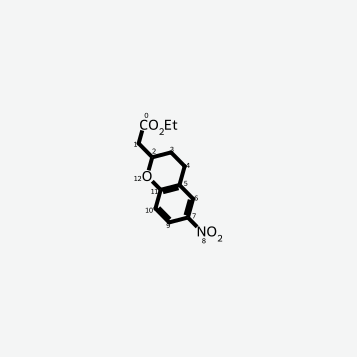 CCOC(=O)CC1CCc2cc([N+](=O)[O-])ccc2O1